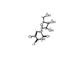 O=c1[nH]c(=S)c(Cl)cn1[C@H]1O[C@@H](CO)C(O)C1O